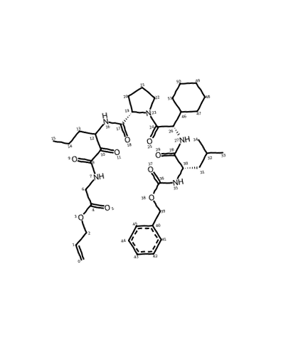 C=CCOC(=O)CNC(=O)C(=O)C(CCC)NC(=O)[C@@H]1CCCN1C(=O)[C@@H](NC(=O)[C@H](CC(C)C)NC(=O)OCc1ccccc1)C1CCCCC1